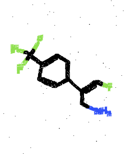 NCC(=CF)c1ccc(C(F)(F)F)cc1